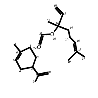 C=C(C)C1CC=C(C)CC1.C=CC(C)(CCC=C(C)C)OC=O